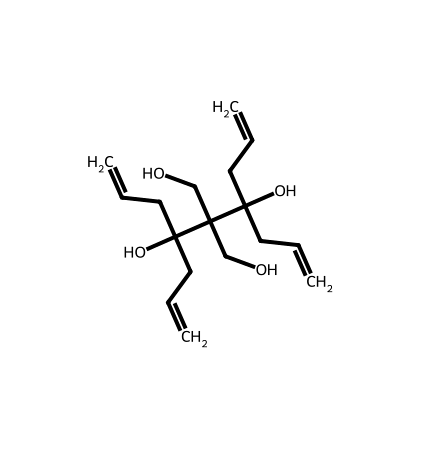 C=CCC(O)(CC=C)C(CO)(CO)C(O)(CC=C)CC=C